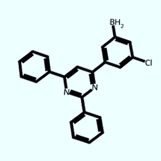 Bc1cc(Cl)cc(-c2cc(-c3ccccc3)nc(-c3ccccc3)n2)c1